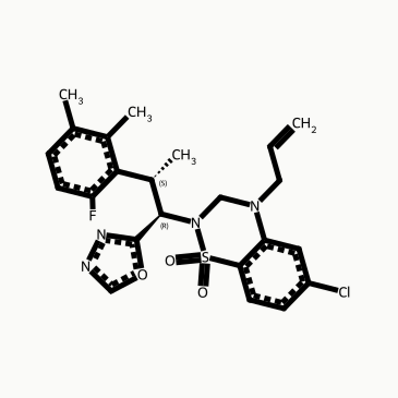 C=CCN1CN([C@@H](c2nnco2)[C@@H](C)c2c(F)ccc(C)c2C)S(=O)(=O)c2ccc(Cl)cc21